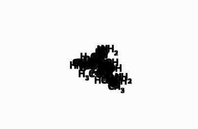 CCCCS(=O)(=O)NC[C@H]1[C@@H](O)[C@H](n2c[n+](C)c3c(=O)[nH]c(N)nc32)O[C@@H]1COP(=O)(O)OP(=O)(O)OP(=O)(O)OCC1O[C@@H](n2cnc3c(N)ncnc32)[C@H](OC)[C@@H]1OP(=O)([O-])OC[C@H]1O[C@@H](n2ccc(=O)[nH]c2=O)[C@H](O)[C@@H]1O